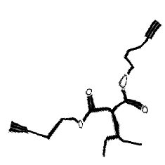 C#CCCOC(=O)C(C(=O)OCCC#C)C(C)C